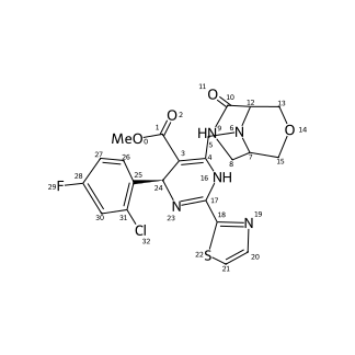 COC(=O)C1=C(CN2C3CNC(=O)C2COC3)NC(c2nccs2)=N[C@H]1c1ccc(F)cc1Cl